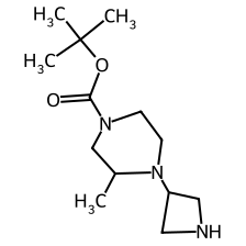 CC1CN(C(=O)OC(C)(C)C)CCN1C1CNC1